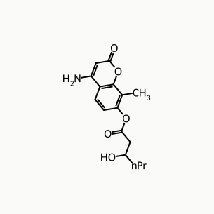 CCCC(O)CC(=O)Oc1ccc2c(N)cc(=O)oc2c1C